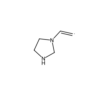 [CH]=CN1CCNC1